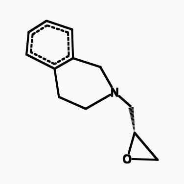 c1ccc2c(c1)CCN(C[C@@H]1CO1)C2